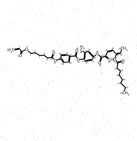 C=CC(=O)OCCCCCC(=O)Oc1ccc(C(=O)Oc2ccc(OC(=O)C(=C)/C=C\C(=C/C)OC(=O)CCCCCCC)cc2C)cc1